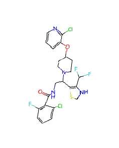 O=C(NCC(C1=C(C(F)F)NCS1)N1CCC(Oc2cccnc2Cl)CC1)c1c(F)cccc1Cl